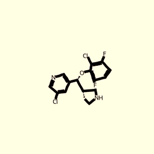 Fc1ccc(F)c(O[C@@H](c2cncc(Cl)c2)[C@H]2CCNC2)c1Cl